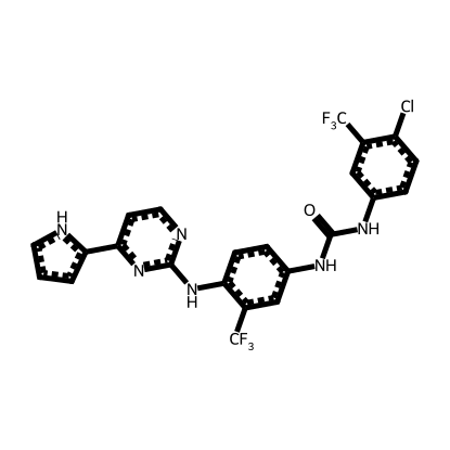 O=C(Nc1ccc(Cl)c(C(F)(F)F)c1)Nc1ccc(Nc2nccc(-c3ccc[nH]3)n2)c(C(F)(F)F)c1